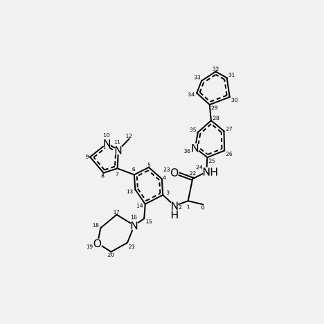 CC(Nc1ccc(-c2ccnn2C)cc1CN1CCOCC1)C(=O)Nc1ccc(-c2ccccc2)cn1